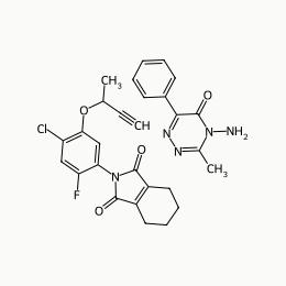 C#CC(C)Oc1cc(N2C(=O)C3=C(CCCC3)C2=O)c(F)cc1Cl.Cc1nnc(-c2ccccc2)c(=O)n1N